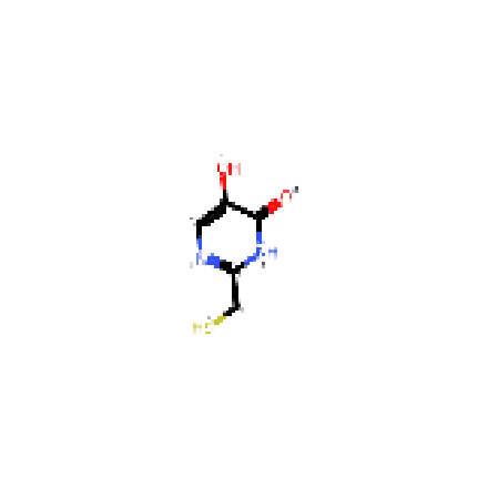 O=c1[nH]c(CS)ncc1O